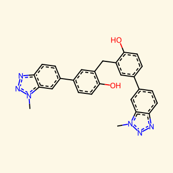 Cn1nnc2ccc(-c3ccc(O)c(Cc4cc(-c5ccc6nnn(C)c6c5)ccc4O)c3)cc21